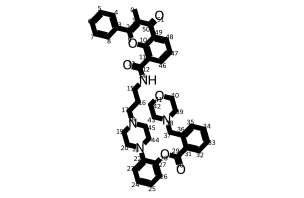 Cc1c(-c2ccccc2)oc2c(C(=O)NCCCN3CCN(c4ccccc4OC(=O)c4ccccc4CN4CCOCC4)CC3)cccc2c1=O